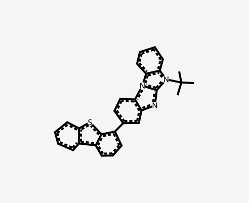 CC(C)(C)n1c2ccccc2n2c3ccc(-c4cccc5c4sc4ccccc45)cc3nc12